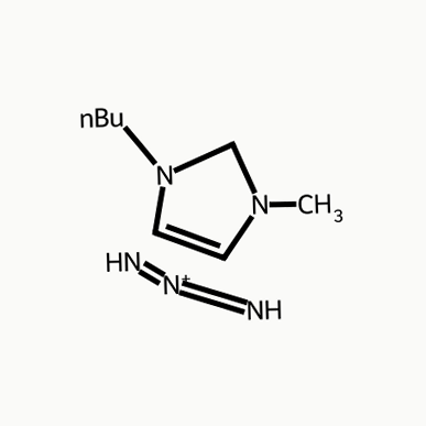 CCCCN1C=CN(C)C1.N=[N+]=N